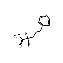 O=C(C(F)(F)F)C(F)(F)CCCc1ccccc1